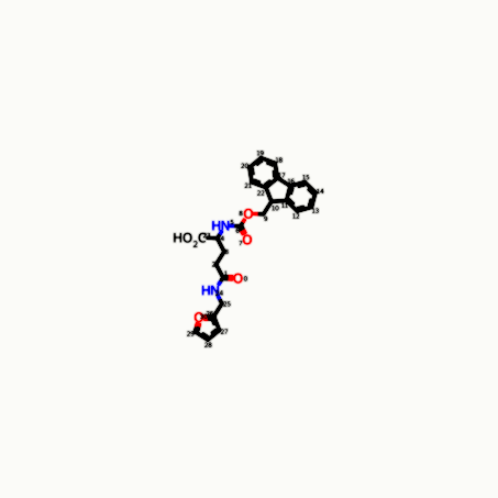 O=C(CCC(NC(=O)OCC1c2ccccc2-c2ccccc21)C(=O)O)NCc1ccco1